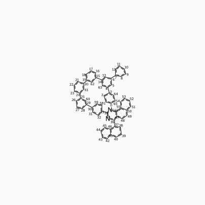 c1ccc(-c2cc(-c3ccccc3)cc(-c3cccc(-c4cccc(-c5cccc(-c6ccc(-c7nc(-c8cccc9ccccc89)c8ccc9ccccc9c8n7)cc6)c5)c4)c3)c2)cc1